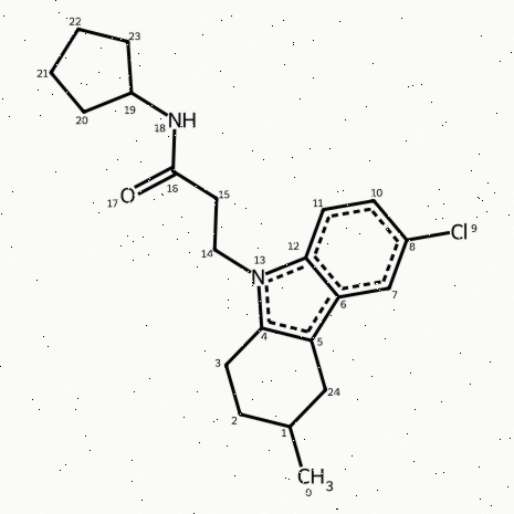 CC1CCc2c(c3cc(Cl)ccc3n2CCC(=O)NC2CCCC2)C1